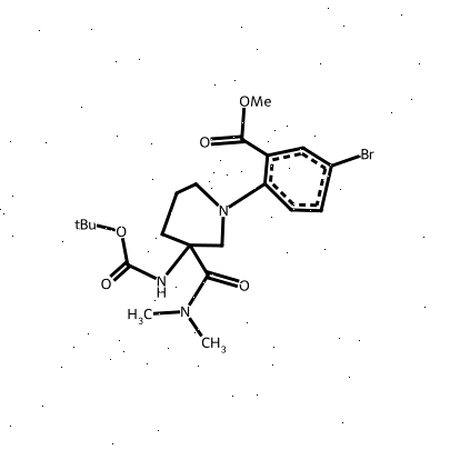 COC(=O)c1cc(Br)ccc1N1CCCC(NC(=O)OC(C)(C)C)(C(=O)N(C)C)C1